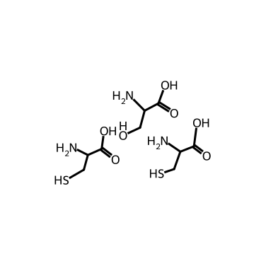 NC(CO)C(=O)O.NC(CS)C(=O)O.NC(CS)C(=O)O